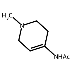 CC(=O)NC1=CCN(C)CC1